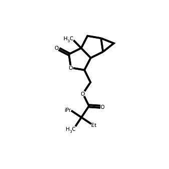 CCC(C)(C(=O)OCC1OC(=O)C2(C)CC3CC3C12)C(C)C